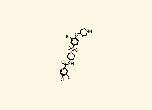 O=C(NC1CCN(S(=O)(=O)c2ccc(OC3CCNCC3)c(Br)c2)CC1)c1ccc(Cl)c(Cl)c1